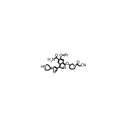 CC(C)Oc1cc2c(OC3CCCN(C(=O)CC#N)C3)ncc(-c3cnn(C4CCNCC4)c3)c2cc1C(N)=O